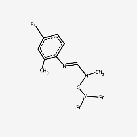 Cc1cc(Br)ccc1N=CN(C)SN(C(C)C)C(C)C